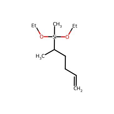 C=CCCC(C)[Si](C)(OCC)OCC